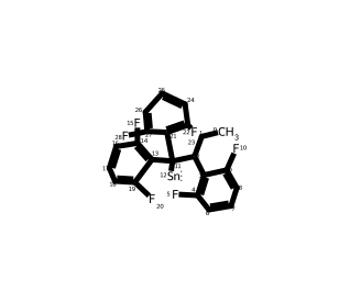 CCC(c1c(F)cccc1F)[C]([Sn])(c1c(F)cccc1F)c1c(F)cccc1F